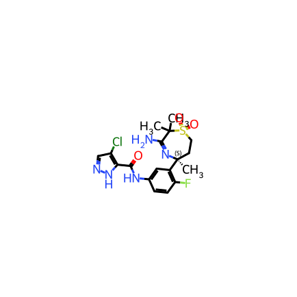 CC1(C)C(N)=N[C@](C)(c2cc(NC(=O)c3[nH]ncc3Cl)ccc2F)CCS1(=O)=O